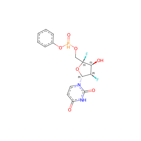 O=c1ccn([C@@H]2O[C@](F)(CO[PH](=O)Oc3ccccc3)[C@@H](O)[C@H]2F)c(=O)[nH]1